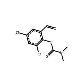 CN(C)C(=S)Oc1c(Cl)cc(Cl)cc1C=O